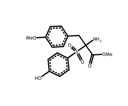 COC(=O)C(N)(Cc1ccc(OC)cc1)S(=O)(=O)c1ccc(O)cc1